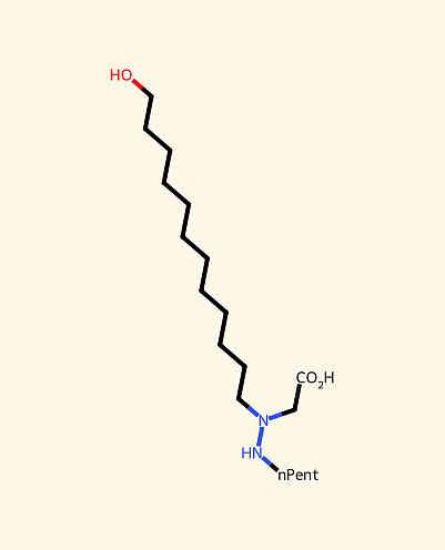 CCCCCNN(CCCCCCCCCCCCO)CC(=O)O